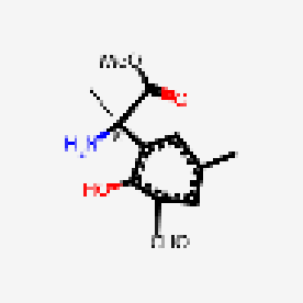 COC(=O)[C@](C)(N)c1cc(C)cc(C=O)c1O